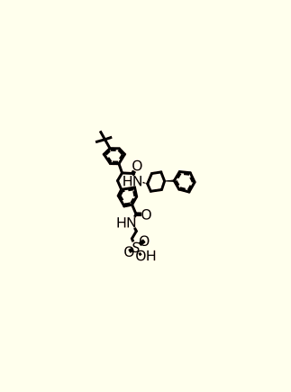 CC(C)(C)c1ccc(C(Cc2ccc(C(=O)NCCS(=O)(=O)O)cc2)C(=O)N[C@H]2CC[C@H](c3ccccc3)CC2)cc1